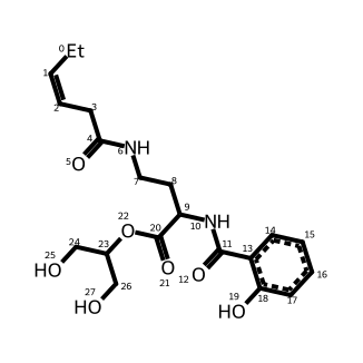 CC/C=C\CC(=O)NCCC(NC(=O)c1ccccc1O)C(=O)OC(CO)CO